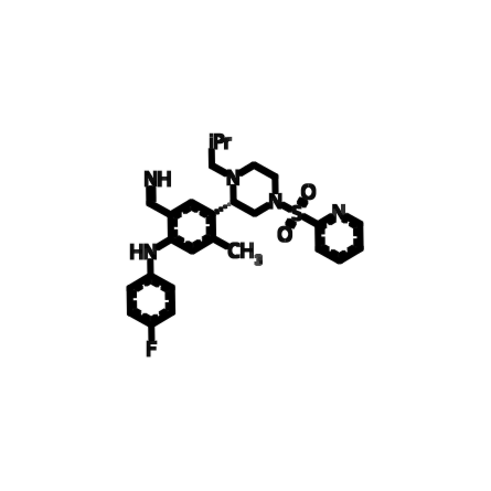 Cc1cc(Nc2ccc(F)cc2)c(C=N)cc1[C@H]1CN(S(=O)(=O)c2ccccn2)CCN1CC(C)C